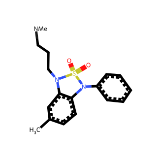 CNCCCN1c2cc(C)ccc2N(c2ccccc2)S1(=O)=O